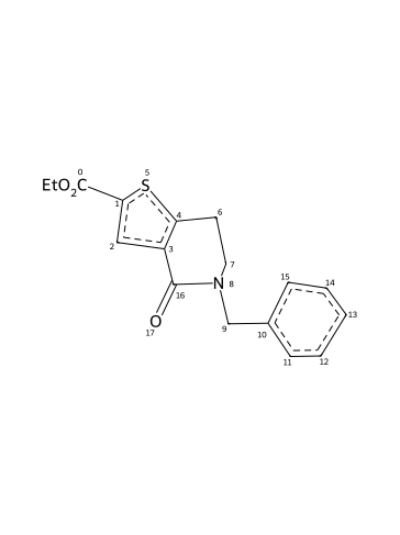 CCOC(=O)c1cc2c(s1)CCN(Cc1ccccc1)C2=O